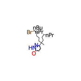 CCCCC(Br)CCCCC(C)(CCC(CCC)CCC)c1ccc(=O)[nH]n1